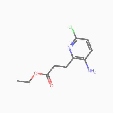 CCOC(=O)CCc1nc(Cl)ccc1N